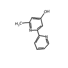 Cc1cc(O)cc(-c2ccccn2)n1